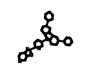 c1ccc(-c2ccc3c(c2)c2cc(-c4ccccc4)ccc2n3-c2ccc(-c3nc4ccncc4o3)nc2)cc1